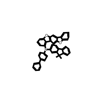 CC1(C)c2ccccc2-c2ccc(N(c3ccc(-c4ccccc4)cc3)c3cccc4oc5cc6c(cc5c34)oc3ccccc36)cc21